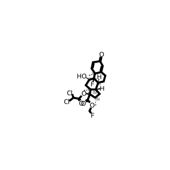 C[C@H]1C[C@H]2[C@@H]3CCC4=CC(=O)C=C[C@]4(C)[C@@]3(F)[C@@H](O)C[C@]2(C)[C@@]1(OC(=O)C(Cl)Cl)C(=O)OCF